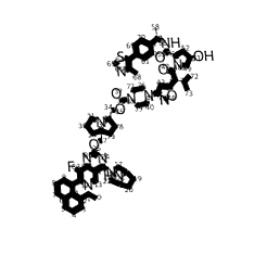 CCc1cccc2cccc(-c3ncc4c(N5CC6CCC(C5)N6)nc(OC[C@]56CCCN5[C@H](COC(=O)N5CCN(c7cc([C@H](C(=O)N8C[C@H](O)C[C@H]8C(=O)N[C@@H](C)c8ccc(-c9scnc9C)cc8)C(C)C)on7)CC5)CC6)nc4c3F)c12